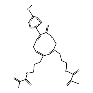 C=C(C)C(=O)OCCCC1=C/C/C=C(/c2ccc(OC)cc2)C(=O)OC/C(CCCOC(=O)C(=C)C)=C\1